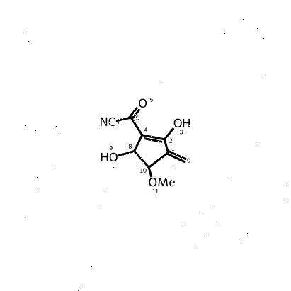 C=C1C(O)=C(C(=O)C#N)C(O)C1OC